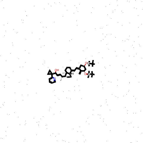 C=C1/C(=C\C=C2/CCC[C@]3(C)[C@@H]([C@H](C)/C=C/[C@H](O)C4(c5ccccn5)CC4)CC[C@@H]23)C[C@@H](O[Si](C)(C)C(C)(C)C)C[C@@H]1O[Si](C)(C)C(C)(C)C